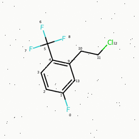 Fc1ccc(C(F)(F)F)c(CCCl)c1